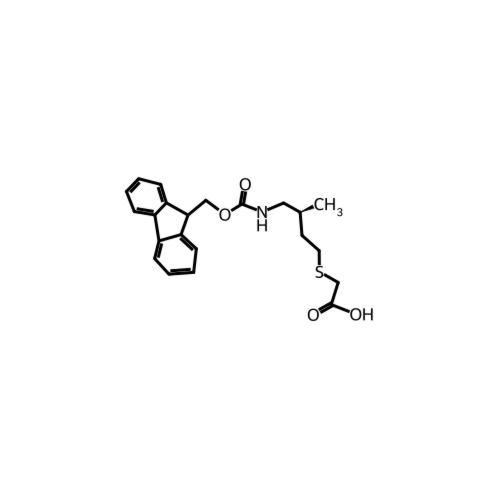 C[C@@H](CCSCC(=O)O)CNC(=O)OCC1c2ccccc2-c2ccccc21